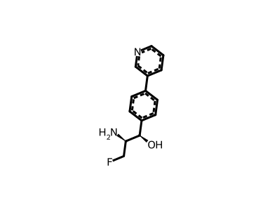 N[C@H](CF)[C@H](O)c1ccc(-c2cccnc2)cc1